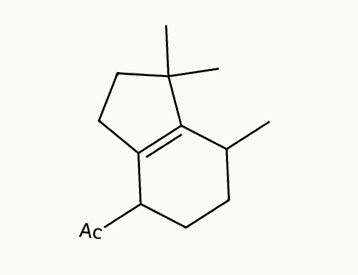 CC(=O)C1CCC(C)C2=C1CCC2(C)C